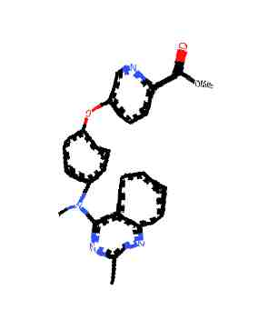 COC(=O)c1ccc(Oc2ccc(N(C)c3nc(C)nc4ccccc34)cc2)cn1